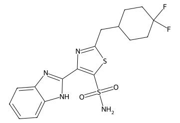 NS(=O)(=O)c1sc(CC2CCC(F)(F)CC2)nc1-c1nc2ccccc2[nH]1